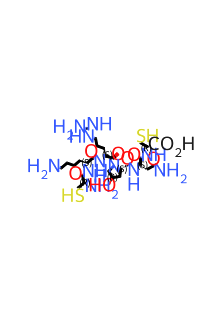 N=C(N)NCCC[C@H](NC(=O)[C@H](CCCCN)NC(=O)[C@@H](N)CS)C(=O)N1C[C@H](O)C[C@H]1C(=O)N[C@@H](CC(N)=O)C(=O)N[C@@H](CS)C(=O)O